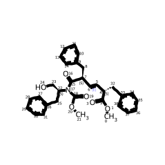 COC(=O)[C@H](/C=C/[C@H](Cc1ccccc1)C(=O)N(C(=O)OC)[C@H](CO)Cc1ccccc1)Cc1ccccc1